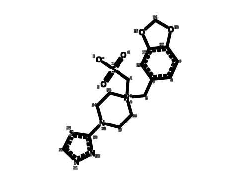 O=S(=O)([O-])C[N+]1(Cc2ccc3c(c2)OCO3)CCN(c2nncs2)CC1